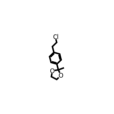 CC1(c2ccc(CCCl)cc2)OCCO1